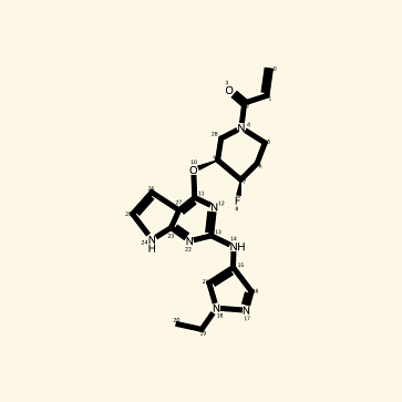 C=CC(=O)N1CC[C@@H](F)[C@@H](Oc2nc(Nc3cnn(CC)c3)nc3[nH]ccc23)C1